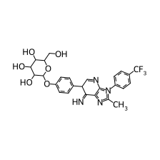 Cc1nc2c(n1-c1ccc(C(F)(F)F)cc1)N=CC(c1ccc(OC3OC(CO)C(O)C(O)C3O)cc1)C2=N